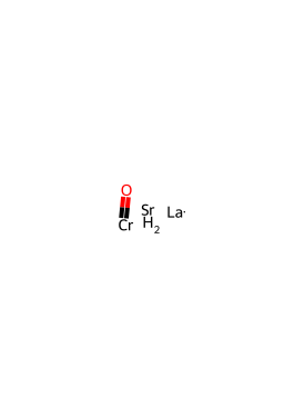 [La].[O]=[Cr].[SrH2]